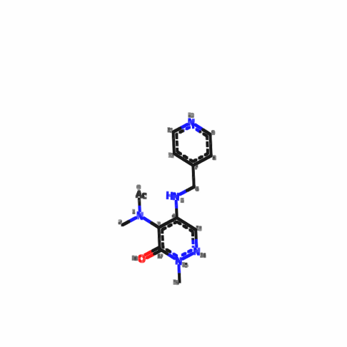 CC(=O)N(C)c1c(NCc2ccncc2)cnn(C)c1=O